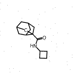 O=C(NC1CCC1)C12CC3CC(CC1C3)C2